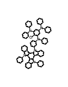 Clc1c(N(c2ccccc2)c2ccccc2)cc(N(c2ccccc2)c2ccccc2)cc1N(c1ccccc1)c1cccc(-n2c3ccccc3c3c4c(c5ccccc5n4-c4ccccc4)c4c(c5ccccc5n4-c4ccccc4)c32)c1